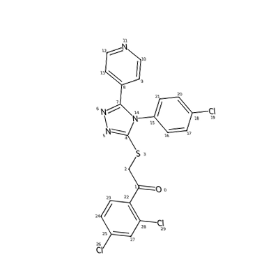 O=C(CSc1nnc(-c2ccncc2)n1-c1ccc(Cl)cc1)c1ccc(Cl)cc1Cl